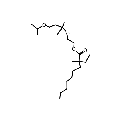 CCCCCCCC(C)(CC)C(=O)OCCOC(C)(C)CCOC(C)C